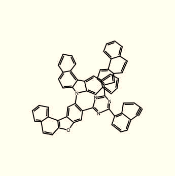 c1ccc2c(-c3nc(-c4ccc5c(ccc6ccccc65)c4)nc(-c4cc5oc6ccc7ccccc7c6c5cc4-n4c5cc6ccccc6cc5c5c6ccccc6ccc54)n3)cccc2c#1